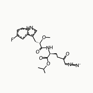 CO[C@@H](Cc1c[nH]c2ccc(F)cc12)C(=O)N[C@@H](CCC(=O)C=[N+]=[N-])C(=O)OC(C)C